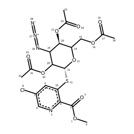 COC(=O)c1ncc(Cl)cc1S[C@H]1OC(COC(C)=O)[C@H](OC(C)=O)C(N=[N+]=[N-])C1OC(C)=O